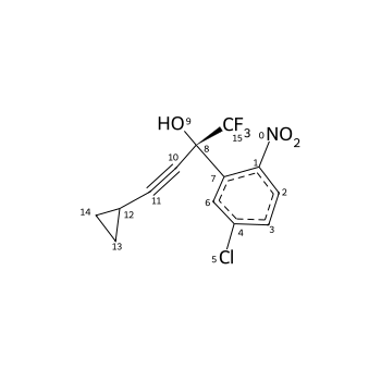 O=[N+]([O-])c1ccc(Cl)cc1[C@@](O)(C#CC1CC1)C(F)(F)F